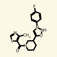 Cc1ncsc1C(=O)N1CCCC(C2=CN(c3ccc(F)cc3)NO2)C1